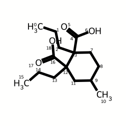 CCCC1(C(=O)O)CCC(C)CC1(CCC)C(=O)O